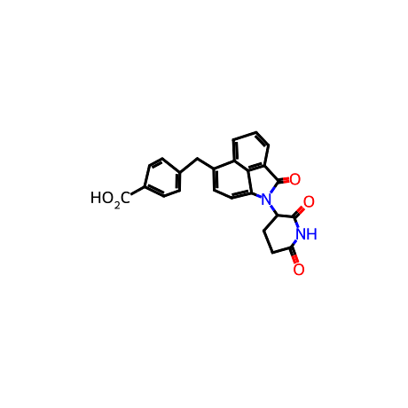 O=C1CCC(N2C(=O)c3cccc4c(Cc5ccc(C(=O)O)cc5)ccc2c34)C(=O)N1